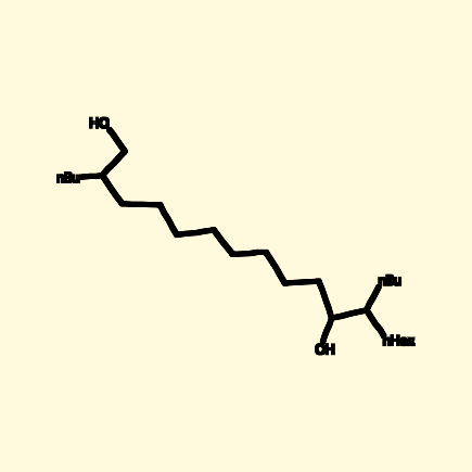 CCCCCCC(CCCC)C(O)CCCCCCCCC(CO)CCCC